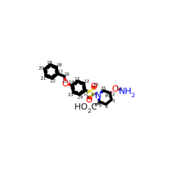 NO[C@@H]1CC[C@H](C(=O)O)N(S(=O)(=O)c2ccc(OCc3ccccc3)cc2)C1